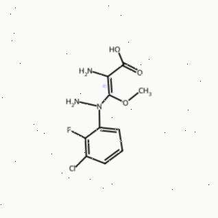 CO/C(=C(/N)C(=O)O)N(N)c1cccc(Cl)c1F